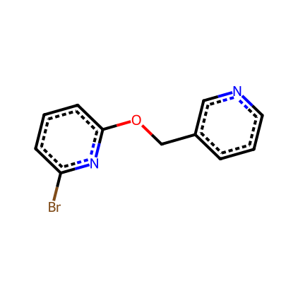 Brc1cccc(OCc2cccnc2)n1